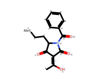 CSCCC1C(=O)/C(=C(\C)O)C(=O)N1C(=O)c1ccccc1